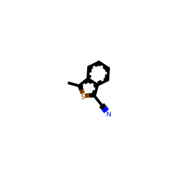 Cc1sc(C#N)c2ccccc12